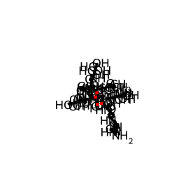 CC(C)(C)C(=O)OCCSSC[C@@H](NC(=O)[C@H](CCC(=O)NC[C@H](O)[C@@H](O)[C@H](O)[C@H](O)CO)NC(=O)[C@@H](CCC(=O)O)NC(=O)[C@H](CCC(=O)NC[C@H](O)[C@@H](O)[C@H](O)[C@H](O)CO)NC(=O)[C@@H](CCC(=O)O)NC(=O)[C@H](CCC(=O)NC[C@H](O)[C@@H](O)[C@H](O)[C@H](O)CO)NC(=O)CC[C@H](NC(=O)c1ccc(NCc2cnc3nc(N)[nH]c(=O)c3n2)cc1)C(=O)O)C(=O)O